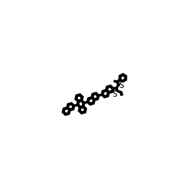 C=Cc1sc2c(ccc3cc(-c4ccc5cc(-c6c7ccccc7c(-c7ccc8ccccc8c7)c7ccccc67)ccc5c4)ccc32)c1-c1sc2ccccc2c1C